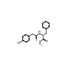 NC(=O)[C@H](Cc1ccccc1)NC(=S)Cc1ccc(Cl)cc1